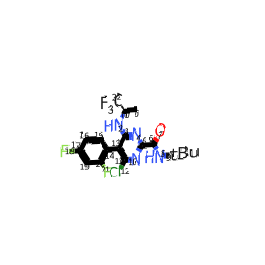 C[C@H](Nc1nc(C(=O)NC(C)(C)C)nc(Cl)c1-c1ccc(F)cc1F)C(F)(F)F